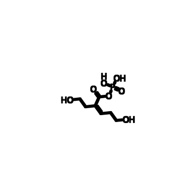 O=C(OP(=O)(O)O)C(=CCCO)CCO